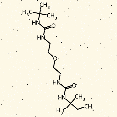 CCC(C)(C)NC(=O)NCCOCCNC(=O)NC(C)(C)C